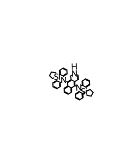 C1=Cc2c(c(N3c4ccccc4[Si]4(CCCC4)c4ccccc43)c3ccccc3c2N2c3ccccc3[Si]3(CCCC3)c3ccccc32)CN1